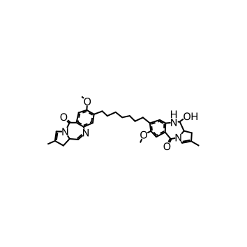 COc1cc2c(cc1CCCCCCCc1cc3c(cc1OC)C(=O)N1C=C(C)CC1C(O)N3)N=CC1CC(C)=CN1C2=O